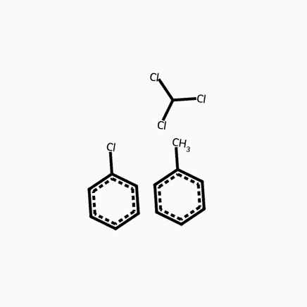 Cc1ccccc1.ClC(Cl)Cl.Clc1ccccc1